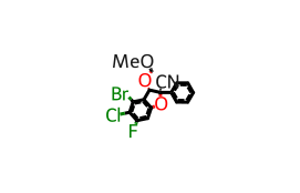 COCO[C@H]1c2c(cc(F)c(Cl)c2Br)O[C@]1(C#N)c1ccccc1